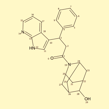 O=C(CC(c1ccccc1)c1c[nH]c2ncccc12)N1C2CC3CC1CC(C2)C3O